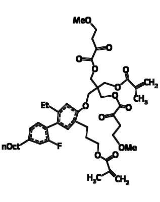 C=C(C)C(=O)OCCCc1cc(-c2ccc(CCCCCCCC)cc2F)c(CC)cc1OCC(COC(=O)C(=C)C)(COC(=O)C(=O)CCOC)COC(=O)C(=O)CCOC